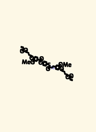 C=CC(=O)OCCCCOc1ccc(/C=C/C(=O)Sc2ccc(OC(=O)c3ccc(OCCCCOC(=O)C=C)c(OC)c3)cc2)cc1OC